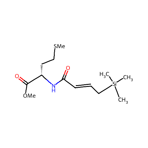 COC(=O)[C@H](CCSC)NC(=O)C=CC[Si](C)(C)C